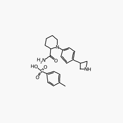 Cc1ccc(S(=O)(=O)O)cc1.NC(=O)C1CCCCN1c1ccc(C2CNC2)cc1